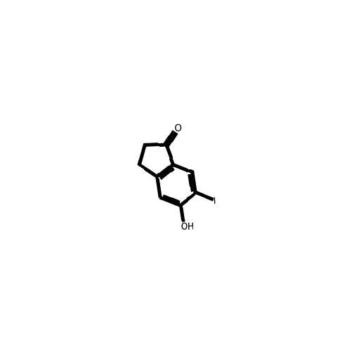 O=C1CCc2cc(O)c(I)cc21